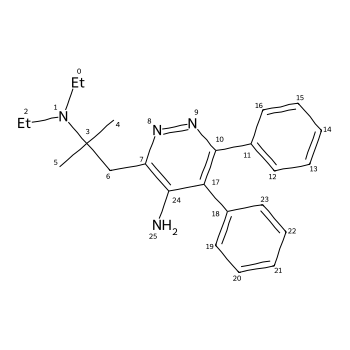 CCN(CC)C(C)(C)Cc1nnc(-c2ccccc2)c(-c2ccccc2)c1N